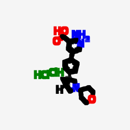 Cl.Cl.Nc1ncc(-c2ccc([C@@]34C[C@@H]3CN(C3CCOCC3)C4)cc2)cc1C(=O)O